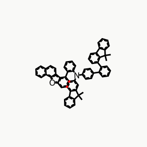 CC1(C)c2ccccc2-c2ccc(N(c3ccc(-c4ccccc4-c4cccc5c4C(C)(C)c4ccccc4-5)cc3)c3ccccc3-c3cccc4oc5c6ccccc6ccc5c34)cc21